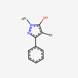 CCCn1nc(-c2ccccc2)c(CC)c1O